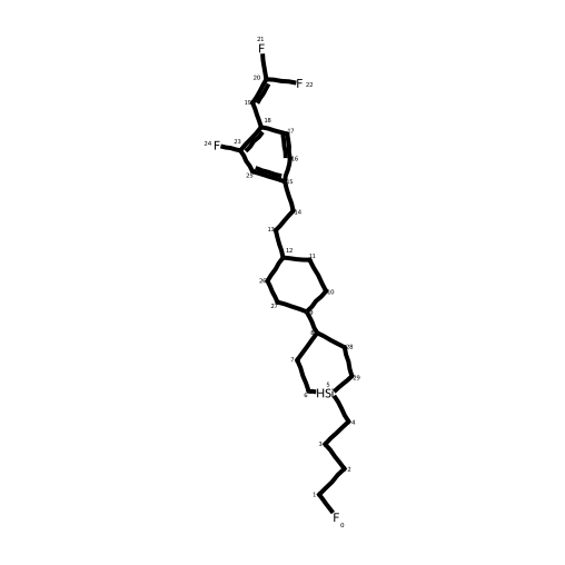 FCCCC[SiH]1CCC(C2CCC(CCc3ccc(C=C(F)F)c(F)c3)CC2)CC1